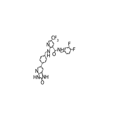 O=C(NCc1ccc(F)c(F)c1)c1cc(C(F)(F)F)cnc1NCc1ccc(-c2cnc3[nH]c(=O)[nH]c3c2)cc1